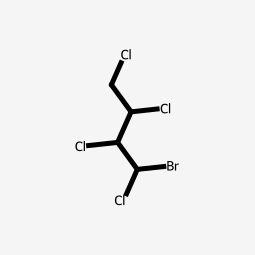 ClCC(Cl)C(Cl)C(Cl)Br